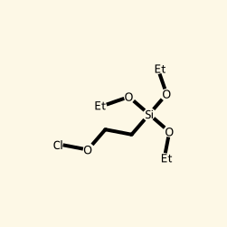 CCO[Si](CCOCl)(OCC)OCC